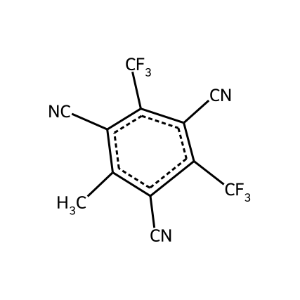 Cc1c(C#N)c(C(F)(F)F)c(C#N)c(C(F)(F)F)c1C#N